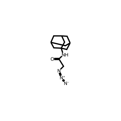 [N-]=[N+]=NCC(=O)NC12CC3CC(CC(C3)C1)C2